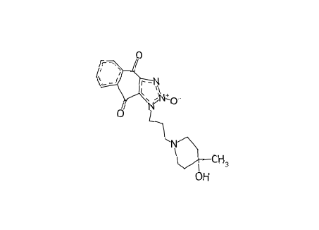 CC1(O)CCN(CCCn2c3c(n[n+]2[O-])C(=O)c2ccccc2C3=O)CC1